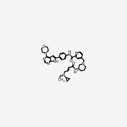 CCN(C/C=C/C(=O)N[C@@H]1CCCN(Cc2ccnc(C(=O)Nc3ccc(-c4cc5c(N6CCOCC6)ncnc5[nH]4)cc3)c2)C1)C1CC1